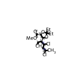 C=C/C(=C(Cl)\C=C(/C)Cl)[C@@H]1OC(CC)(CC)O[C@H]1C(=O)OC